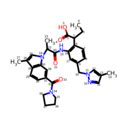 CCC(C(=O)O)c1ccc(Cn2cc(C)cn2)cc1NC(=O)C(C)n1cc(C)c2ccc(C(=O)N3CCCC3)cc21